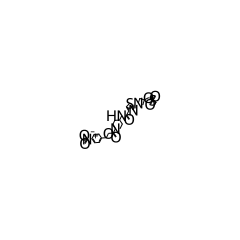 CS(=O)(=O)OC1CN(c2nc(C(=O)NC3CCN(C(=O)OCc4ccc([N+](=O)[O-])cc4)CC3)cs2)C1